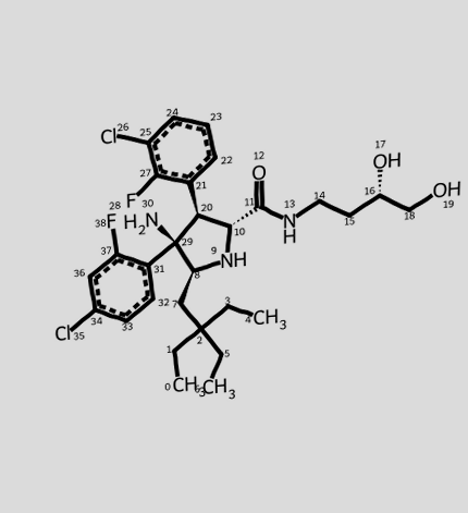 CCC(CC)(CC)C[C@@H]1N[C@@H](C(=O)NCC[C@H](O)CO)[C@H](c2cccc(Cl)c2F)[C@@]1(N)c1ccc(Cl)cc1F